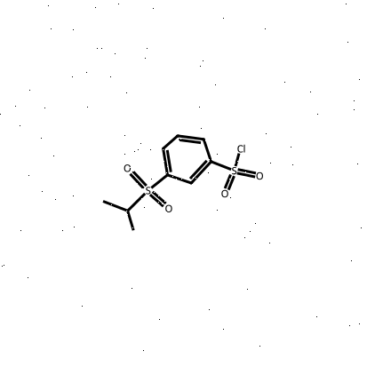 CC(C)S(=O)(=O)c1cccc(S(=O)(=O)Cl)c1